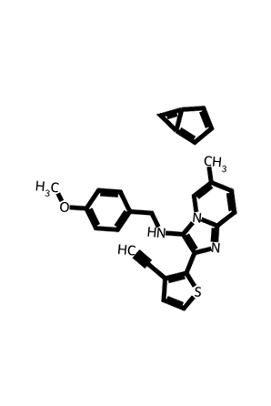 C#Cc1ccsc1-c1nc2ccc(C)cn2c1NCc1ccc(OC)cc1.c1cc2cc-2c1